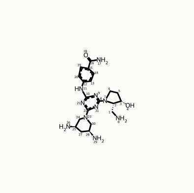 NC[C@H]1[C@@H](O)CCN1c1nc(Nc2ccc(C(N)=O)cc2)nc(N2C[C@H](N)C[C@H](N)C2)n1